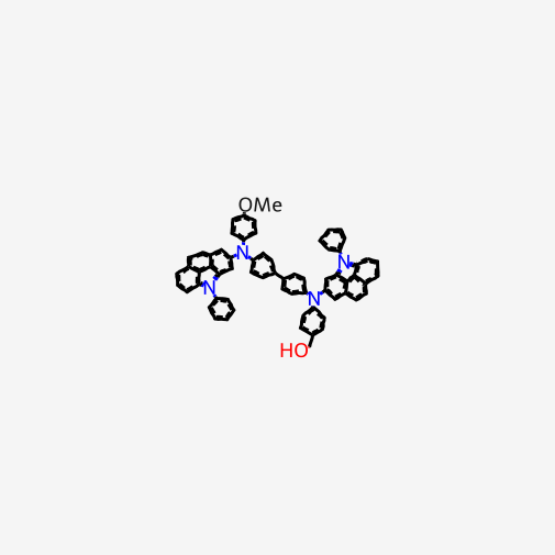 COc1ccc(N(c2ccc(-c3ccc(N(c4ccc(CO)cc4)c4cc5ccc6cccc7c6c5c(c4)n7-c4ccccc4)cc3)cc2)c2cc3ccc4cccc5c4c3c(c2)n5-c2ccccc2)cc1